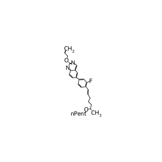 C=CCOc1ncc2cc(-c3ccc(/C=C/CCCC(C)OCCCCC)c(F)c3)ccc2n1